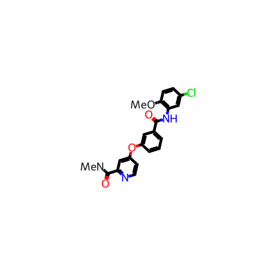 CNC(=O)c1cc(Oc2cccc(C(=O)Nc3cc(Cl)ccc3OC)c2)ccn1